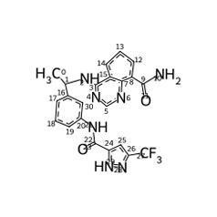 CC(Nc1ncnc2c(C(N)=O)cccc12)c1cccc(NC(=O)c2cc(C(F)(F)F)n[nH]2)c1